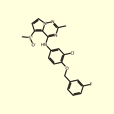 Cc1nc(Nc2ccc(OCc3cccc(F)c3)c(Cl)c2)c2c([S+](C)[O-])ccn2n1